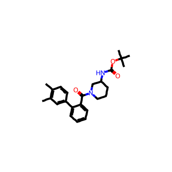 Cc1ccc(-c2ccccc2C(=O)N2CCCC(NC(=O)OC(C)(C)C)C2)cc1C